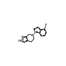 Fc1cccc2c1ccn2N1CCc2c[nH]nc2C1